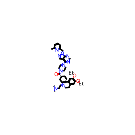 CCOc1cc2c(cc1OCC)[C@]1(CC[C@@H](C(=O)N3CCN(c4ncnc5c4cnn5Cc4cccc(C)n4)CC3)CC1)N(CCN(C)C)CC2